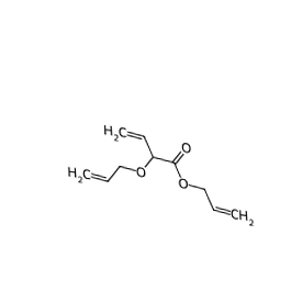 C=CCOC(=O)C(C=C)OCC=C